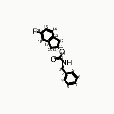 O=C(NCc1ccccc1)O[C@H]1Cc2ccc(F)cc2C1